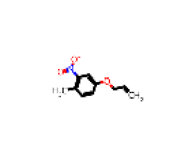 C=CCOc1ccc(C)c([N+](=O)[O-])c1